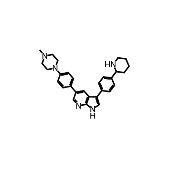 CN1CCN(c2ccc(-c3cnc4[nH]cc(-c5ccc(C6CCCCN6)cc5)c4c3)cc2)CC1